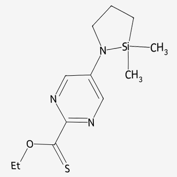 CCOC(=S)c1ncc(N2CCC[Si]2(C)C)cn1